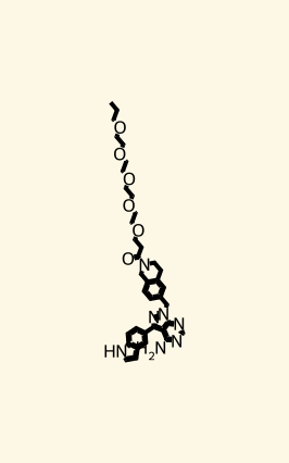 CCCOCCOCCOCCOCCOCCC(=O)N1CCc2cc(Cn3nc(-c4ccc5[nH]ccc5c4)c4c(N)ncnc43)ccc2C1